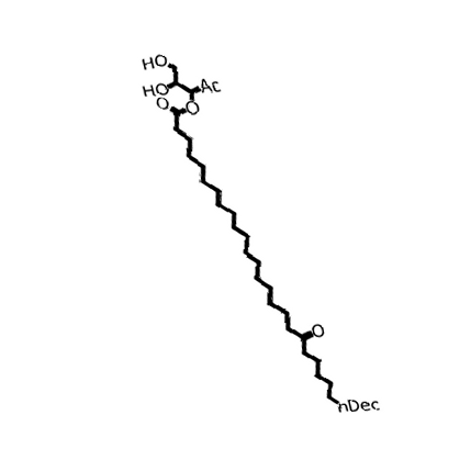 CCCCCCCCCCCCCCCC(=O)CCCCCCCCCCCCCCCCCC(=O)OC(C(C)=O)C(O)CO